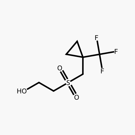 O=S(=O)(CCO)CC1(C(F)(F)F)CC1